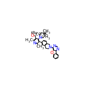 Cc1nc(C)c([C@H](OC(C)(C)C)C(=O)O)c(N2CCC(C)(C)CC2)c1-c1ccc2c(c1)CCN(c1ncnc3c1oc1ccccc13)C2